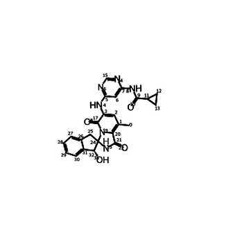 Cc1cc(Nc2cc(NC(=O)C3CC3)ncn2)c(=O)n2c1C(=O)NC21Cc2ccccc2[C@@H]1O